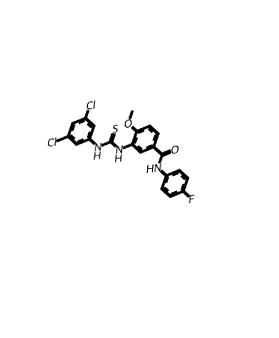 COc1ccc(C(=O)Nc2ccc(F)cc2)cc1NC(=S)Nc1cc(Cl)cc(Cl)c1